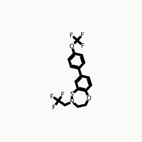 FC(F)(F)CN1CCOc2ccc(-c3ccc(OC(F)(F)F)cc3)cc2S1